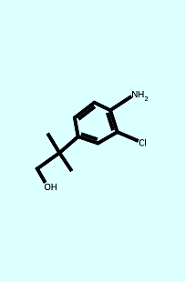 CC(C)(CO)c1ccc(N)c(Cl)c1